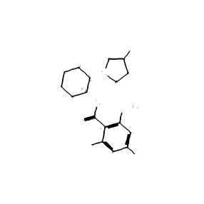 COc1cc(C(F)(F)F)cc(C(F)(F)F)c1C(=O)N[C@@H]1CCCC[C@@H]1N1CCC(F)C1